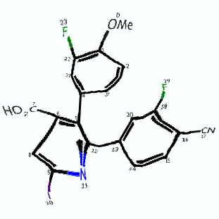 COc1ccc(-c2c(C(=O)O)cc(I)nc2-c2ccc(C#N)c(F)c2)cc1F